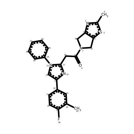 Cc1nc2c(s1)CN(C(=O)Cc1nc(-c3ccc(F)c(C)c3)cn1-c1ccccc1)C2